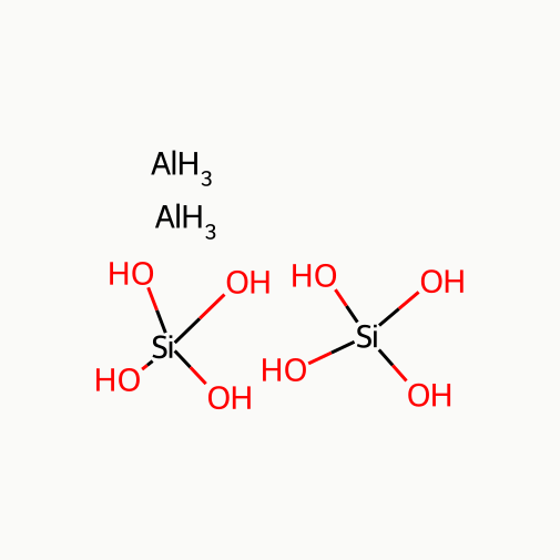 O[Si](O)(O)O.O[Si](O)(O)O.[AlH3].[AlH3]